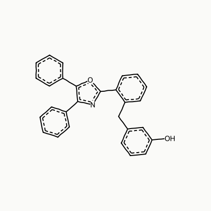 Oc1cccc(Cc2ccccc2-c2nc(-c3ccccc3)c(-c3ccccc3)o2)c1